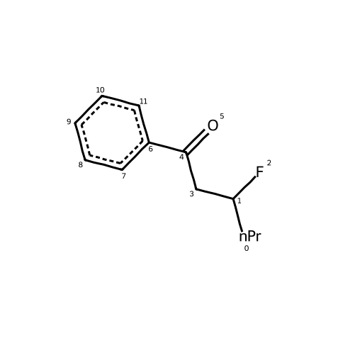 CCCC(F)CC(=O)c1ccccc1